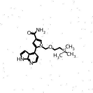 C[Si](C)(C)CCOCn1cc(C(N)=O)cc1-c1ccnc2[nH]ccc12